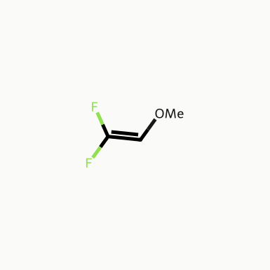 COC=C(F)F